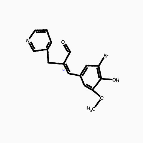 COc1cc(/C=C(\C=O)Cc2cccnc2)cc(Br)c1O